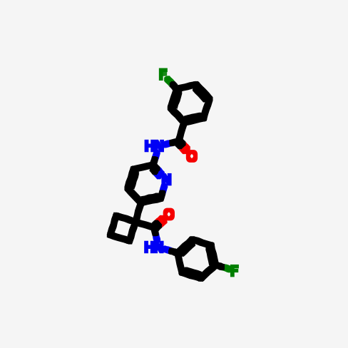 O=C(Nc1ccc(C2(C(=O)Nc3ccc(F)cc3)CCC2)cn1)c1cccc(F)c1